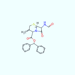 C=C1CS[C@H]2C(NC=O)C(=O)N2C1C(=O)OC(c1ccccc1)c1ccccc1